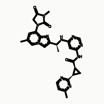 Cc1cc(N2CC(=O)N(C)C2=O)c2nc([C@@H](C)Nc3cc(NC(=O)[C@H]4C[C@@H]4c4nccc(C)n4)ncn3)cn2c1